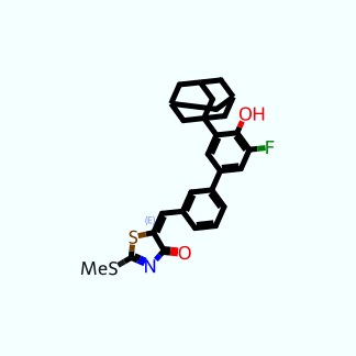 CSC1=NC(=O)/C(=C\c2cccc(-c3cc(F)c(O)c(C45CC6CC(CC(C6)C4)C5)c3)c2)S1